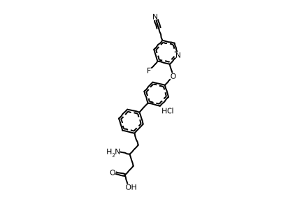 Cl.N#Cc1cnc(Oc2ccc(-c3cccc(CC(N)CC(=O)O)c3)cc2)c(F)c1